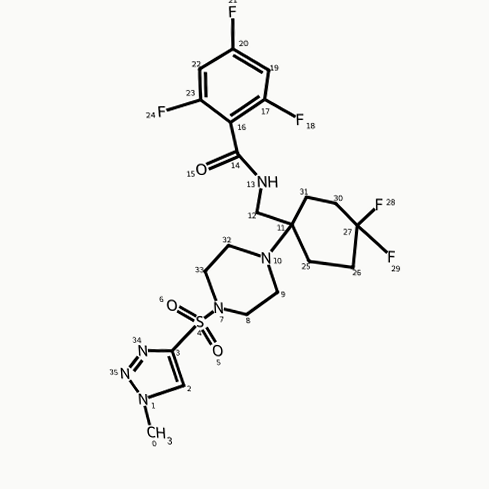 Cn1cc(S(=O)(=O)N2CCN(C3(CNC(=O)c4c(F)cc(F)cc4F)CCC(F)(F)CC3)CC2)nn1